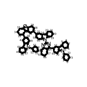 c1ccc(-n2c3ccccc3c3cc(-c4nc(-n5c6ccccc6c6cc(-c7ccc8oc9cccc(-c%10ccc%11c(c%10)c%10ccccc%10n%11-c%10ccccc%10)c9c8c7)ccc65)nc5ccccc45)ccc32)cc1